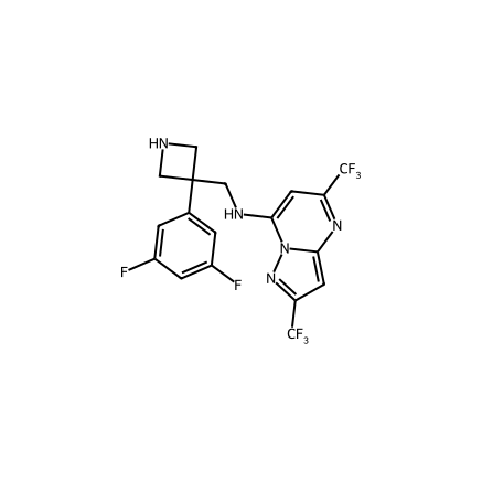 Fc1cc(F)cc(C2(CNc3cc(C(F)(F)F)nc4cc(C(F)(F)F)nn34)CNC2)c1